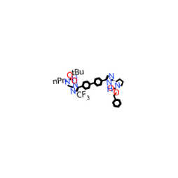 CCCN(Cc1nc(C(F)(F)F)c(-c2ccc(-c3ccc(-c4cnc([C@@H]5CCCN5C(=O)OCc5ccccc5)[nH]4)cc3)cc2)[nH]1)C(=O)OC(C)(C)C